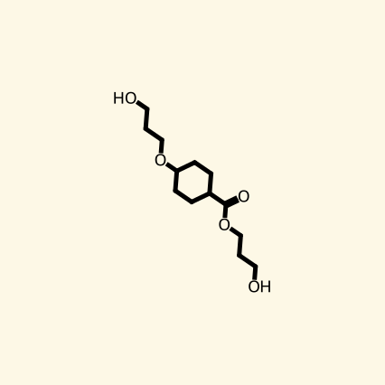 O=C(OCCCO)C1CCC(OCCCO)CC1